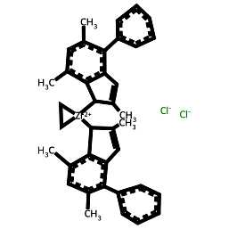 CC1=Cc2c(-c3ccccc3)c(C)cc(C)c2[CH]1[Zr+2]1([CH]2C(C)=Cc3c(-c4ccccc4)c(C)cc(C)c32)[CH2][CH2]1.[Cl-].[Cl-]